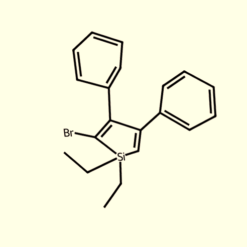 CC[Si]1(CC)C=C(c2ccccc2)C(c2ccccc2)=C1Br